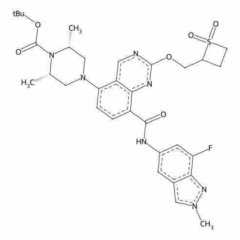 C[C@@H]1CN(c2ccc(C(=O)Nc3cc(F)c4nn(C)cc4c3)c3nc(OCC4CCS4(=O)=O)ncc23)C[C@H](C)N1C(=O)OC(C)(C)C